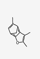 CC1=CC2=c3oc(C)c(C)c3=C1C2